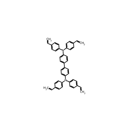 C=Cc1ccc(N(c2ccc(C=C)cc2)c2ccc(-c3ccc(N(c4ccc(C=C)cc4)c4ccc(C=C)cc4)cc3)cc2)cc1